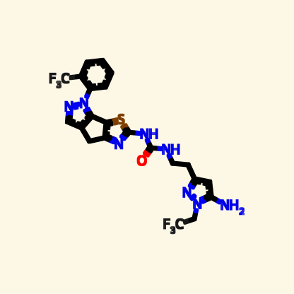 Nc1cc(CCNC(=O)Nc2nc3c(s2)-c2c(cnn2-c2ccccc2C(F)(F)F)C3)nn1CC(F)(F)F